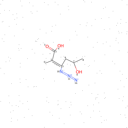 CC(C(=O)O)=C(CC(C)O)N=[N+]=[N-]